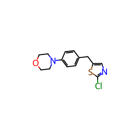 Clc1ncc(Cc2ccc(N3CCOCC3)cc2)s1